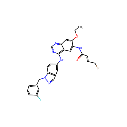 CCOc1cc2ncnc(Nc3ccc4c(cnn4Cc4cccc(F)c4)c3)c2cc1NC(=O)C=CCBr